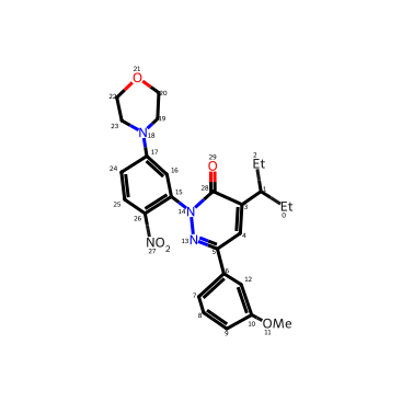 CCC(CC)c1cc(-c2cccc(OC)c2)nn(-c2cc(N3CCOCC3)ccc2[N+](=O)[O-])c1=O